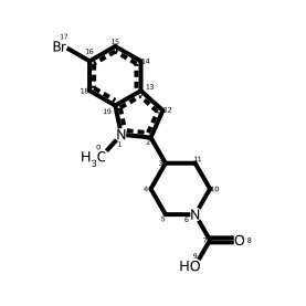 Cn1c(C2CCN(C(=O)O)CC2)cc2ccc(Br)cc21